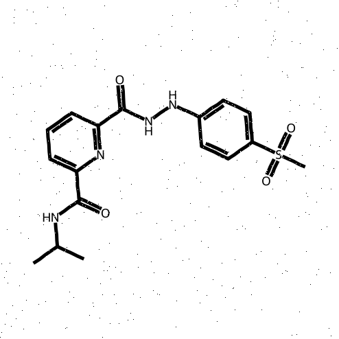 CC(C)NC(=O)c1cccc(C(=O)NNc2ccc(S(C)(=O)=O)cc2)n1